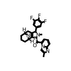 Cc1cn2c(C(=O)N3C4=C(C[C@H]5CCC[C@@H]4N5)C(c4cc(F)c(F)c(F)c4)N3C)cccc2n1